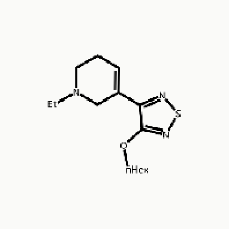 CCCCCCOc1nsnc1C1=CCCN(CC)C1